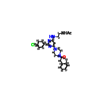 CC(=O)NCCNc1cc(N2CCN(C(=O)Cc3ccccc3C)CC2)nc(-c2ccc(Cl)cc2)n1